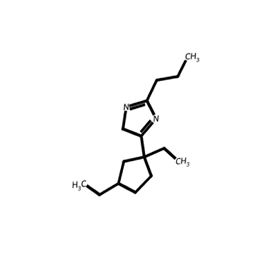 CCCC1=NCC(C2(CC)CCC(CC)C2)=N1